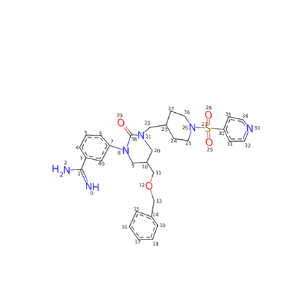 N=C(N)c1cccc(N2CC(COCc3ccccc3)CN(CC3CCN(S(=O)(=O)c4ccncc4)CC3)C2=O)c1